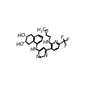 COCCNc1nc(C(F)(F)F)ccc1-c1cc(Nc2cccc3c2C[C@H](O)[C@H](O)C3)ncn1